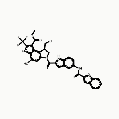 COC(=O)c1c(C(F)(F)F)[nH]c2c(O)cc3c(c12)C(CCl)CN3C(=O)c1cc2cc(NC(=O)c3cc4ccccc4o3)ccc2[nH]1